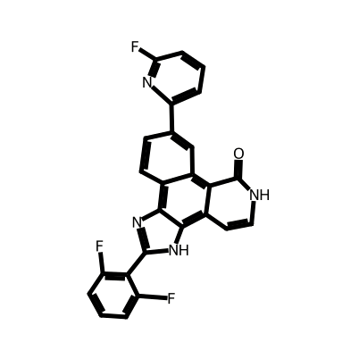 O=c1[nH]ccc2c3[nH]c(-c4c(F)cccc4F)nc3c3ccc(-c4cccc(F)n4)cc3c12